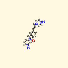 O=C1c2ccc(C#CCN3CCNCC3)cc2CN1C1CCCNC1